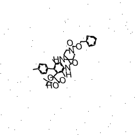 Cc1ccc(-c2c(C)c3c(c(C)c2[C@H](OC(C)(C)C)C(=O)O)NC(=O)C2(CCN(C(=O)OCc4ccccc4)CC2)N3)cc1